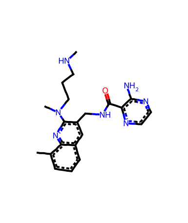 CNCCCN(C)c1nc2c(C)cccc2cc1CNC(=O)c1nccnc1N